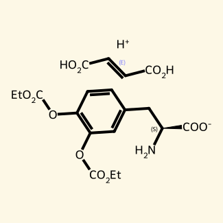 CCOC(=O)Oc1ccc(C[C@H](N)C(=O)[O-])cc1OC(=O)OCC.O=C(O)/C=C/C(=O)O.[H+]